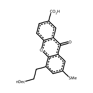 CCCCCCCCCCCCc1cc(SC)cc2c(=O)c3cc(C(=O)O)ccc3oc12